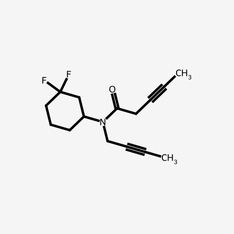 CC#CCC(=O)N(CC#CC)C1CCCC(F)(F)C1